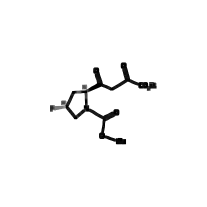 CCOC(=O)C(=O)CC(=O)[C@@H]1C[C@@H](F)CN1C(=O)OC(C)(C)C